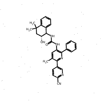 Cc1cc(NC(=O)NC2c3ccccc3C(C)(C)C[C@H]2O)c(-c2ccccc2)nc1-c1ccc(C#N)nc1